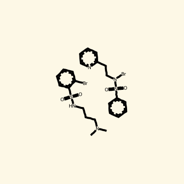 CN(C)CCCNS(=O)(=O)c1ccccc1Br.O=S(=O)(c1ccccc1)N(Br)CCc1ccccn1